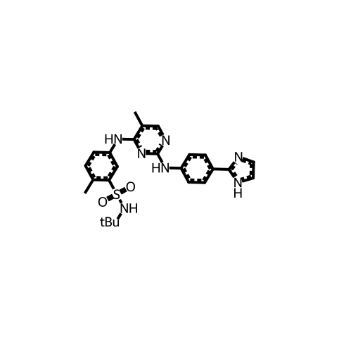 Cc1ccc(Nc2nc(Nc3ccc(-c4ncc[nH]4)cc3)ncc2C)cc1S(=O)(=O)NC(C)(C)C